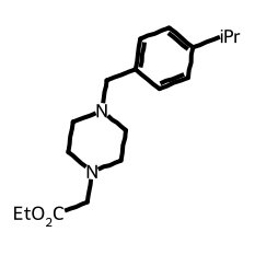 CCOC(=O)CN1CCN(Cc2ccc(C(C)C)cc2)CC1